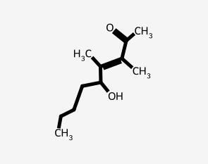 CCCCC(O)/C(C)=C(\C)C(C)=O